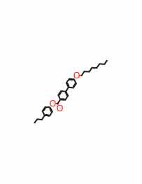 CCCCCCCCOc1ccc(-c2ccc(C(=O)Oc3ccc(CCC)cc3)cc2)cc1